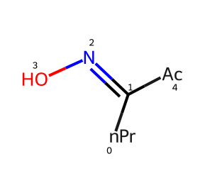 CCC/C(=N\O)C(C)=O